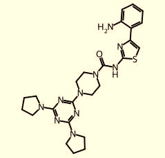 Nc1ccccc1-c1csc(NC(=O)N2CCN(c3nc(N4CCCC4)nc(N4CCCC4)n3)CC2)n1